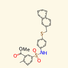 COC(=O)c1cc(S(=O)(=O)Nc2ccc(SCc3ccc4ccccc4c3)cc2)ccc1C